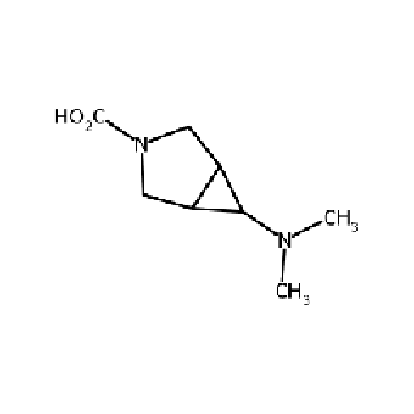 CN(C)C1C2CN(C(=O)O)CC21